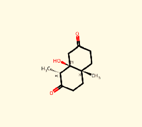 C[C@H]1C(=O)CC[C@@]2(C)CCC(=O)C[C@@]12O